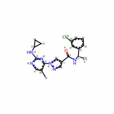 CC[C@@H](NC(=O)c1cnn(-c2nc(NC3CC3)ncc2C)c1)c1cccc(Cl)c1